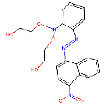 O=[N+]([O-])c1ccc(N=Nc2ccccc2N(OCCO)OCCO)c2ccccc12